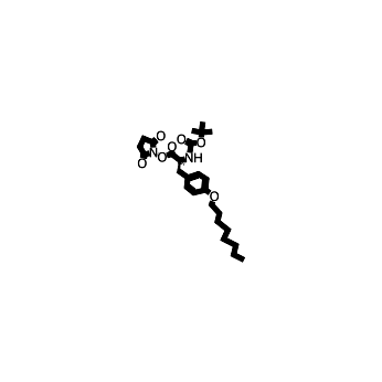 CCCCCCCCOc1ccc(C[C@H](NC(=O)OC(C)(C)C)C(=O)ON2C(=O)CCC2=O)cc1